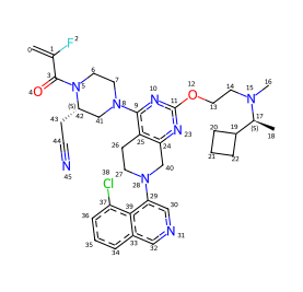 C=C(F)C(=O)N1CCN(c2nc(OCCN(C)[C@@H](C)C3CCC3)nc3c2CCN(c2cncc4cccc(Cl)c24)C3)C[C@@H]1CC#N